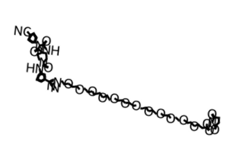 N#Cc1ccc(N2C(=O)NC3(CCN(C(=O)Nc4cccc(-c5cn(CCOCCOCCOCCOCCOCCOCCOCCOCCOCCOCCOCCOCCC(=O)ON6C(=O)CCC6=O)nn5)c4)CC3)C2=O)cc1